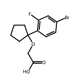 O=C(O)COC1(c2ccc(Br)cc2F)CCCC1